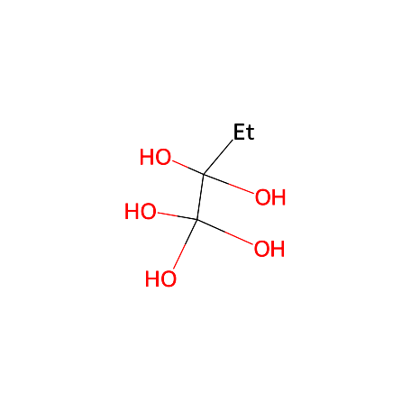 CCC(O)(O)C(O)(O)O